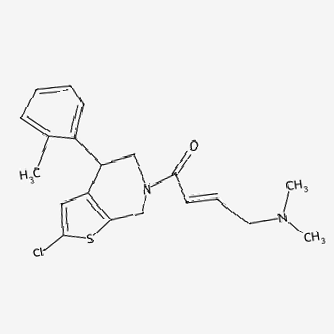 Cc1ccccc1C1CN(C(=O)/C=C/CN(C)C)Cc2sc(Cl)cc21